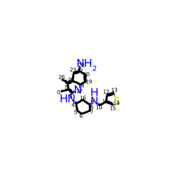 Cc1c(NC2CCCC(NCc3ccsc3)C2)nc2ccc(N)cc2c1C